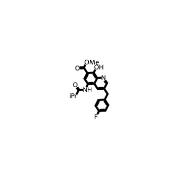 COC(=O)c1cc(NC(=O)C(C)C)c2cc(Cc3ccc(F)cc3)cnc2c1O